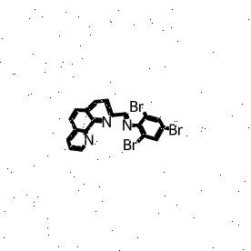 Brc1cc(Br)c(N=Cc2ccc3ccc4cccnc4c3n2)c(Br)c1